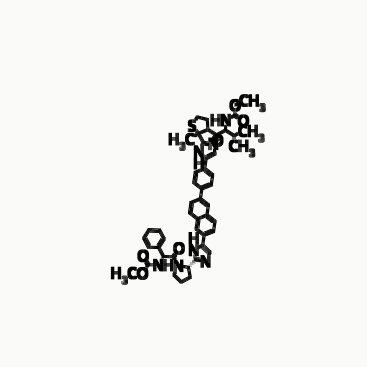 COC(=O)NC(C(=O)C1CCSC1(C)c1ncc(-c2ccc(-c3ccc4cc(-c5cnc([C@@H]6CCCN6C(=O)[C@H](NC(=O)OC)c6ccccc6)[nH]5)ccc4c3)cc2)[nH]1)C(C)C